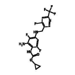 Nc1c(F)c(NCc2cnc(C(F)(F)F)cc2F)cc(F)c1NC(=O)OC1CC1